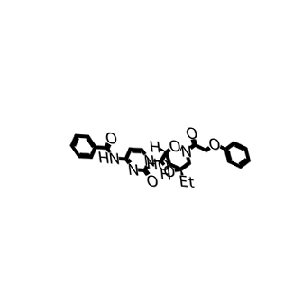 CC[C@@]12CN(C(=O)COc3ccccc3)O[C@@H]([C@H](n3ccc(NC(=O)c4ccccc4)nc3=O)O1)[C@@H]2O